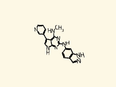 CNc1nc(Nc2ccc3cn[nH]c3c2)nc2[nH]cc(-c3cccnc3)c12